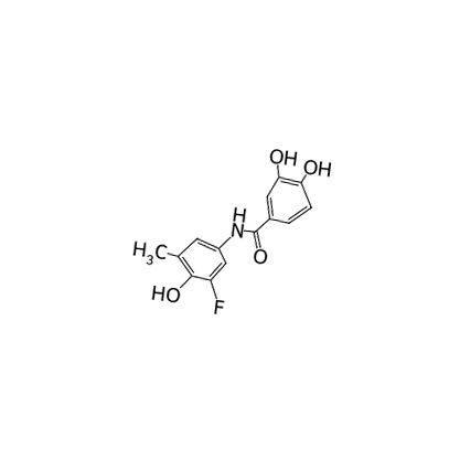 Cc1cc(NC(=O)c2ccc(O)c(O)c2)cc(F)c1O